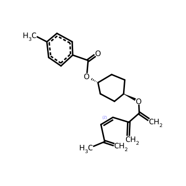 C=C(C)/C=C\C(=C)C(=C)O[C@H]1CC[C@H](OC(=O)c2ccc(C)cc2)CC1